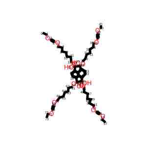 CCOC#COCCCCCCCOC1(O)c2ccc3c4c(ccc(c24)C1(O)OCCCCCCCOC#COCC)C(O)(OCCCCCCCOC#COCC)C3(O)OCCCCCCCOC#COCC